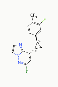 Fc1cc([C@H]2C[C@@H]2c2cc(Cl)nn3ccnc23)ccc1C(F)(F)F